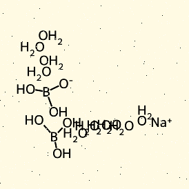 O.O.O.O.O.O.O.O.O.O.OB(O)O.[Na+].[O-]B(O)O